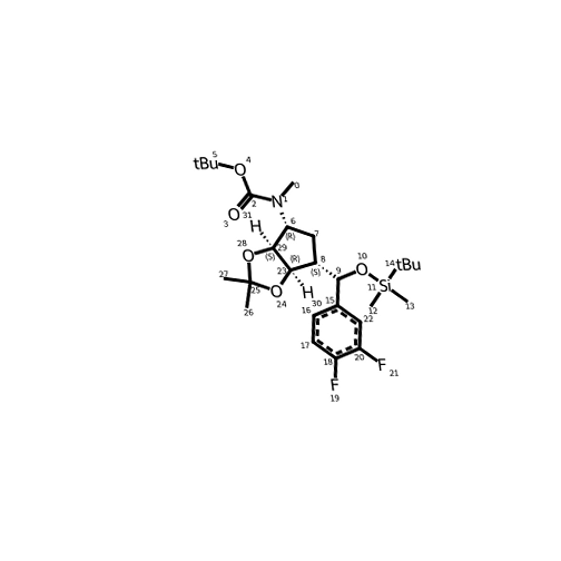 CN(C(=O)OC(C)(C)C)[C@@H]1C[C@H](C(O[Si](C)(C)C(C)(C)C)c2ccc(F)c(F)c2)[C@H]2OC(C)(C)O[C@H]21